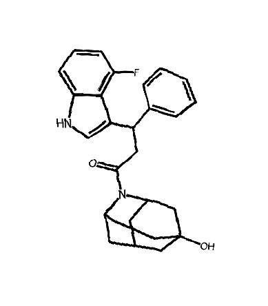 O=C(CC(c1ccccc1)c1c[nH]c2cccc(F)c12)N1C2CC3CC1CC(O)(C3)C2